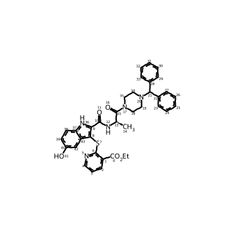 CCOC(=O)c1cccnc1Sc1c(C(=O)N[C@H](C)C(=O)N2CCN(C(c3ccccc3)c3ccccc3)CC2)[nH]c2ccc(O)cc12